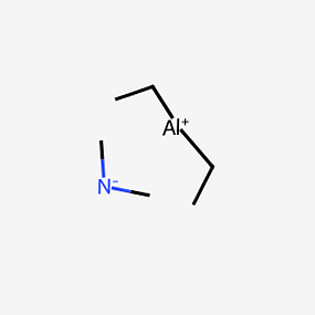 C[CH2][Al+][CH2]C.C[N-]C